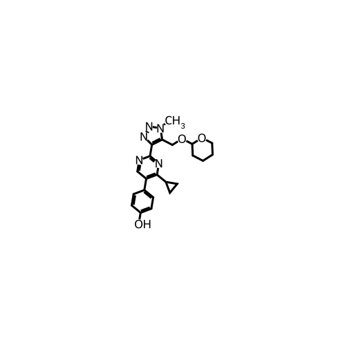 Cn1nnc(-c2ncc(-c3ccc(O)cc3)c(C3CC3)n2)c1COC1CCCCO1